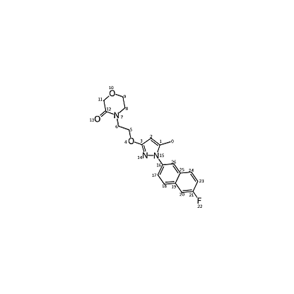 Cc1cc(OCCN2CCOCC2=O)nn1-c1ccc2cc(F)ccc2c1